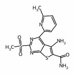 Cc1cccc(-c2nc(S(C)(=O)=O)nc3sc(C(N)=O)c(N)c23)n1